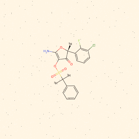 [2H]C([2H])(c1ccccc1)S(=O)(=O)OC1=C(N)O[C@]([2H])(c2cccc(Cl)c2F)C1=O